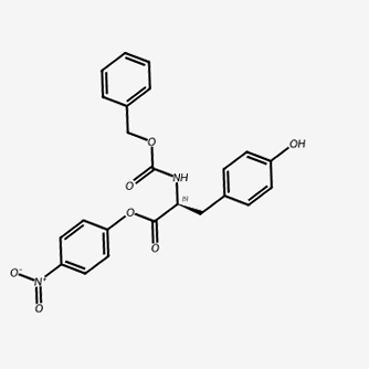 O=C(N[C@@H](Cc1ccc(O)cc1)C(=O)Oc1ccc([N+](=O)[O-])cc1)OCc1ccccc1